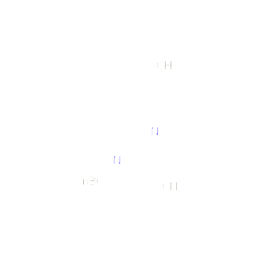 CCCCn1c(C)nc2c(C)cccc21